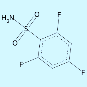 NS(=O)(=O)c1c(F)cc(F)cc1F